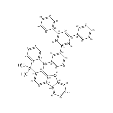 CC1(C)c2ccccc2N(c2cccc(-c3nc(-c4ccccc4)cc(-c4ccccc4)n3)c2)c2c1ccc1c2oc2ccccc21